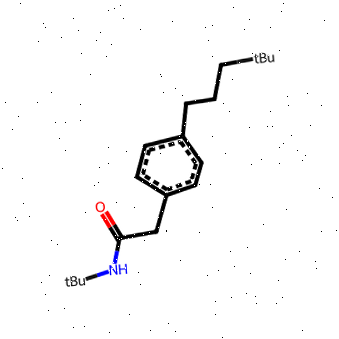 CC(C)(C)CCCc1ccc(CC(=O)NC(C)(C)C)cc1